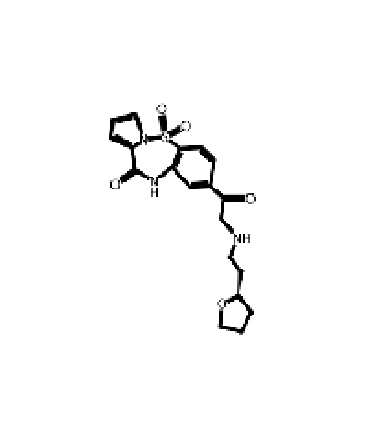 O=C(CNCC[C@H]1CCCO1)c1ccc2c(c1)NC(=O)c1cccn1S2(=O)=O